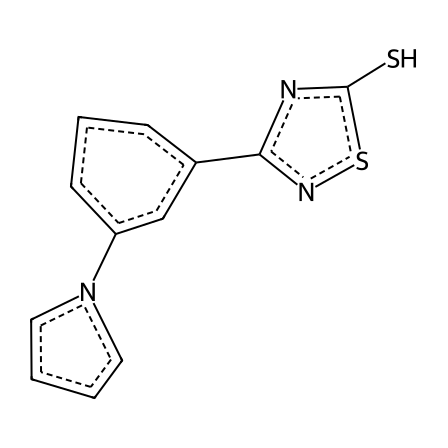 Sc1nc(-c2cccc(-n3cccc3)c2)ns1